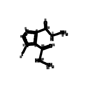 NNC(=O)c1ncn(I)c1C(=O)NN